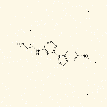 NCCNc1ccnc(-n2ccc3cc([N+](=O)[O-])ccc32)n1